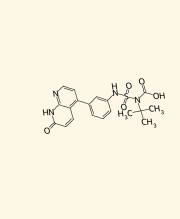 CC(C)(C)N(C(=O)O)S(=O)(=O)Nc1cccc(-c2ccnc3[nH]c(=O)ccc23)c1